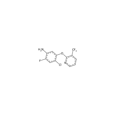 Nc1cc(Oc2ncccc2C(F)(F)F)c(Cl)cc1F